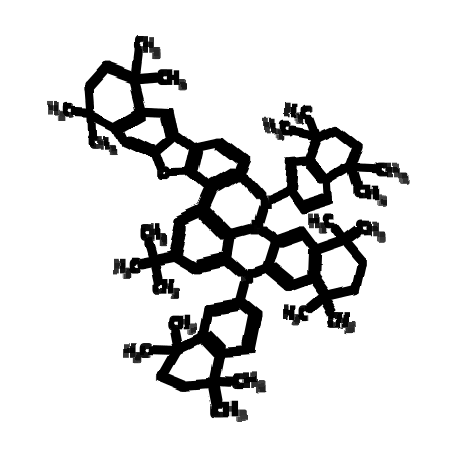 CC(C)(C)c1cc2c3c(c1)N(c1ccc4c(c1)C(C)(C)CCC4(C)C)c1cc4c(cc1B3N(c1ccc3c(c1)C(C)(C)CCC3(C)C)c1ccc3c(oc5cc6c(cc53)C(C)(C)CCC6(C)C)c1-2)C(C)(C)CCC4(C)C